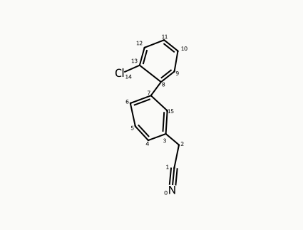 N#CCc1cccc(-c2ccccc2Cl)c1